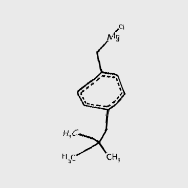 CC(C)(C)Cc1ccc([CH2][Mg][Cl])cc1